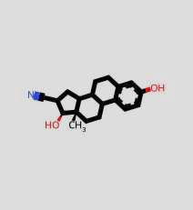 C[C@]12CCC3c4ccc(O)cc4CCC3C1CC(C#N)[C@@H]2O